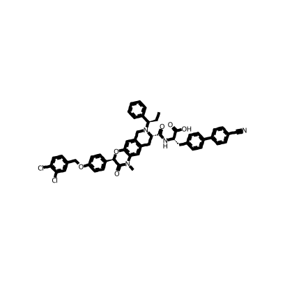 CC[C@H](c1ccccc1)N1Cc2cc3c(cc2C[C@H]1C(=O)N[C@@H](Cc1ccc(-c2ccc(C#N)cc2)cc1)C(=O)O)N(C)C(=O)[C@@H](c1ccc(OCc2ccc(Cl)c(Cl)c2)cc1)O3